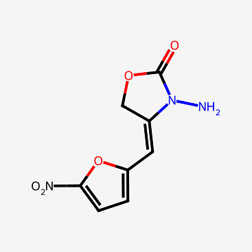 NN1C(=O)OCC1=Cc1ccc([N+](=O)[O-])o1